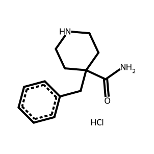 Cl.NC(=O)C1(Cc2ccccc2)CCNCC1